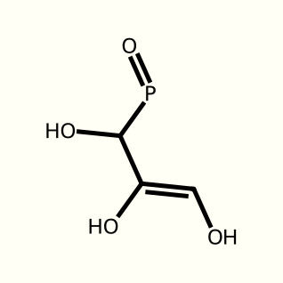 O=PC(O)C(O)=CO